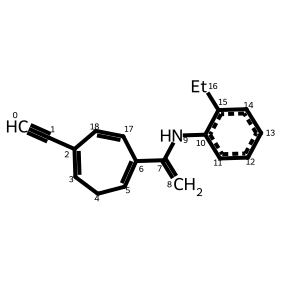 C#CC1=CCC=C(C(=C)Nc2ccccc2CC)C=C1